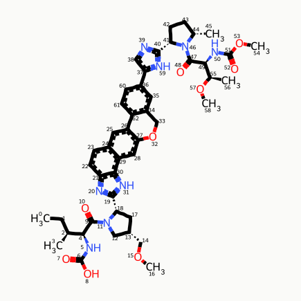 CC[C@H](C)[C@H](NC(=O)O)C(=O)N1C[C@@H](COC)C[C@H]1c1nc2ccc3cc4c(cc3c2[nH]1)OCc1cc(-c2cnc([C@@H]3CC[C@H](C)N3C(=O)[C@@H](NC(=O)OC)[C@@H](C)OC)[nH]2)ccc1-4